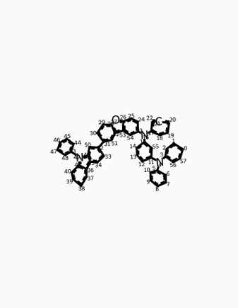 c1ccc(N(c2ccccc2)c2cccc(N(c3ccccc3)c3ccc4oc5ccc(-c6ccc7c8ccccc8n(-c8ccccc8)c7c6)cc5c4c3)c2)cc1